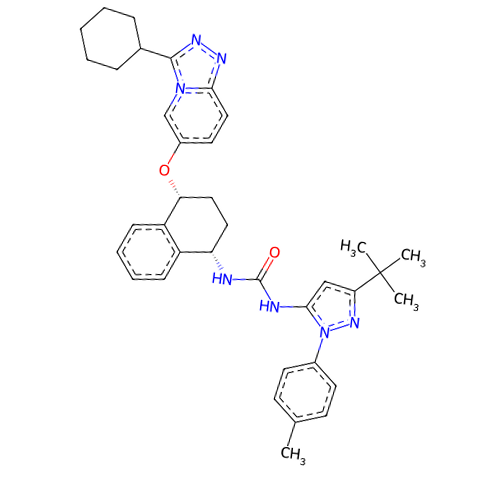 Cc1ccc(-n2nc(C(C)(C)C)cc2NC(=O)N[C@H]2CC[C@@H](Oc3ccc4nnc(C5CCCCC5)n4c3)c3ccccc32)cc1